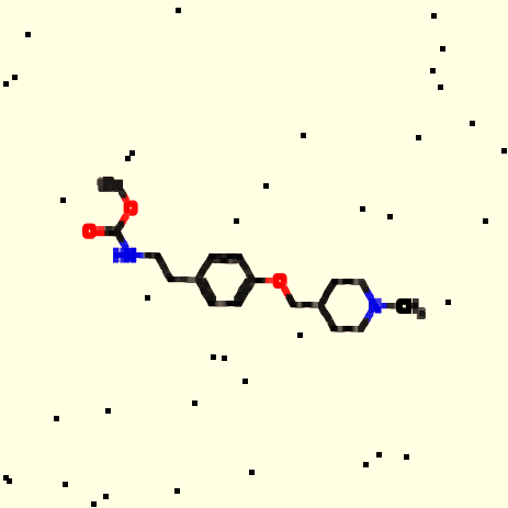 CN1CCC(COc2ccc(CCNC(=O)OC(C)(C)C)cc2)CC1